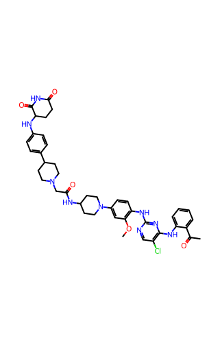 COc1cc(N2CCC(NC(=O)CN3CCC(c4ccc(NC5CCC(=O)NC5=O)cc4)CC3)CC2)ccc1Nc1ncc(Cl)c(Nc2ccccc2C(C)=O)n1